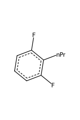 [CH2]CCc1c(F)cccc1F